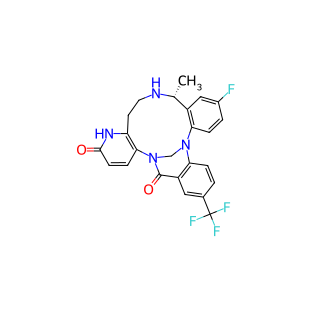 C[C@H]1NCCc2[nH]c(=O)ccc2N2CN(c3ccc(C(F)(F)F)cc3C2=O)c2ccc(F)cc21